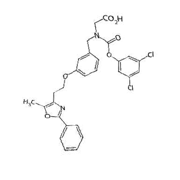 Cc1oc(-c2ccccc2)nc1CCOc1cccc(CN(CC(=O)O)C(=O)Oc2cc(Cl)cc(Cl)c2)c1